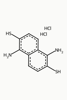 Cl.Cl.Nc1c(S)ccc2c(N)c(S)ccc12